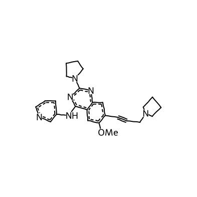 COc1cc2c(Nc3cccnc3)nc(N3CCCC3)nc2cc1C#CCN1CCCC1